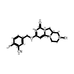 CCN1CCN2c3cc(OCc4ccc(F)c(C#N)c4)nc(=O)n3CC2C1